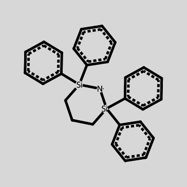 c1ccc([Si]2(c3ccccc3)CCC[Si](c3ccccc3)(c3ccccc3)[N]2)cc1